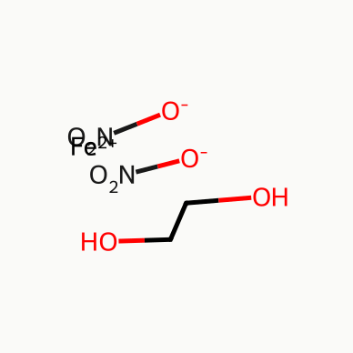 O=[N+]([O-])[O-].O=[N+]([O-])[O-].OCCO.[Fe+2]